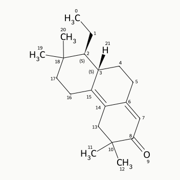 CC[C@H]1[C@@H]2CCC3=CC(=O)C(C)(C)CC3=C2CCC1(C)C